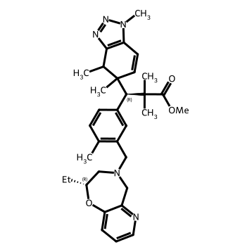 CC[C@@H]1CN(Cc2cc([C@H](C(C)(C)C(=O)OC)C3(C)C=Cc4c(nnn4C)C3C)ccc2C)Cc2ncccc2O1